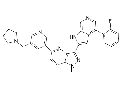 Fc1ccccc1-c1cncc2[nH]c(-c3n[nH]c4ccc(-c5cncc(CN6CCCC6)c5)nc34)cc12